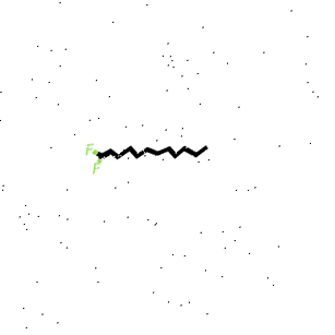 CCCCCCCCCCC=C(F)F